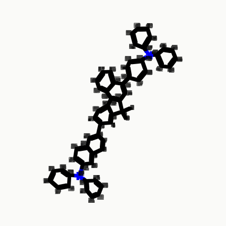 CC1(C)c2cc(-c3ccc4cc(N(c5ccccc5)c5ccccc5)ccc4c3)ccc2-c2c1cc(-c1ccc(N(c3ccccc3)c3ccccc3)cc1)c1ccccc21